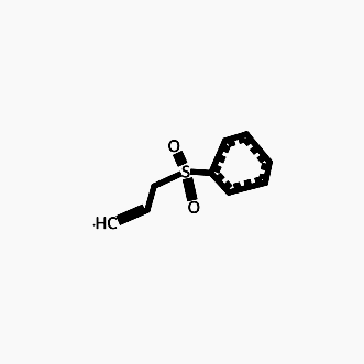 [CH]=CCS(=O)(=O)c1ccccc1